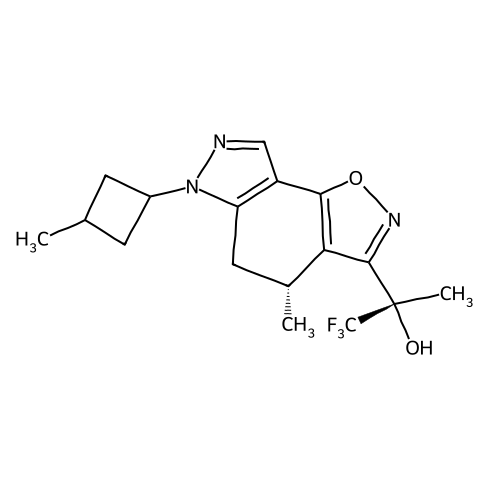 CC1CC(n2ncc3c2C[C@@H](C)c2c([C@](C)(O)C(F)(F)F)noc2-3)C1